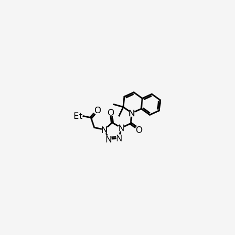 CCC(=O)Cn1nnn(C(=O)N2c3ccccc3C=CC2(C)C)c1=O